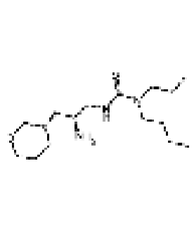 CCCCN(CCC)C(=O)NC[C@@H](N)C[C@H]1CCCOC1